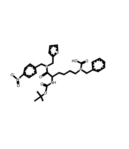 CC(C)(C)OC(=O)NC(CCCCN(Cc1ccccc1)C(=O)O)C(=O)N(Cc1ccc([N+](=O)[O-])cc1)Cc1cccs1